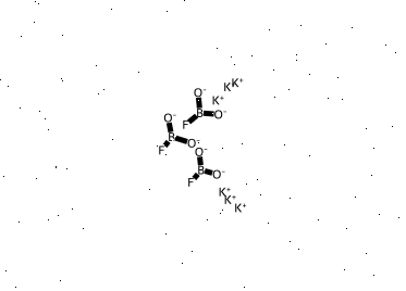 [K+].[K+].[K+].[K+].[K+].[K+].[O-]B([O-])F.[O-]B([O-])F.[O-]B([O-])F